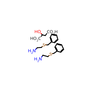 NCCSCc1ccccc1.NCCSCc1ccccc1.O=C(O)CC(O)C(=O)O